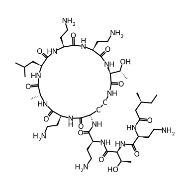 CC[C@H](C)CC(=O)N[C@@H](CCN)C(=O)N[C@H](C(=O)N[C@@H](CCN)C(=O)N[C@H]1CCNC(=O)[C@H]([C@@H](C)O)NC(=O)[C@H](CCN)NC(=O)[C@H](CCN)NC(=O)[C@H](CC(C)C)NC(=O)[C@@H](C)NC(=O)[C@H](CCN)NC1=O)[C@@H](C)O